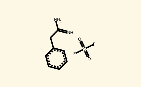 N=C(N)Cc1ccccc1.O=S(=O)(F)F